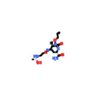 C=CCON1C(=O)N2C[C@H]1C(=NOCCNB(C)O)C[C@H]2C(N)=O